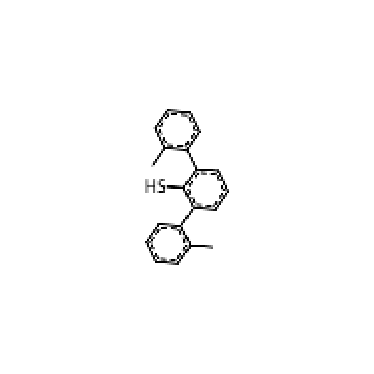 Cc1ccccc1-c1cccc(-c2ccccc2C)c1S